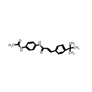 CC(=O)Nc1ccc(NC(=O)/C=C/c2ccc(C(C)(C)C)cc2)cc1